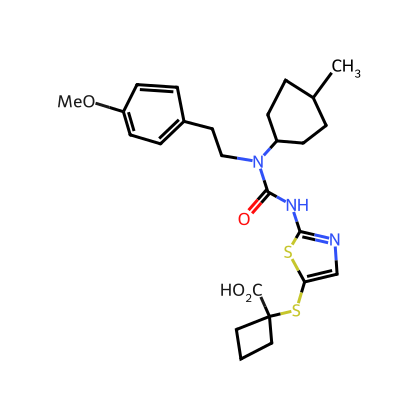 COc1ccc(CCN(C(=O)Nc2ncc(SC3(C(=O)O)CCC3)s2)C2CCC(C)CC2)cc1